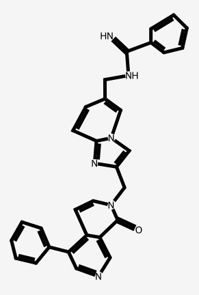 N=C(NCc1ccc2nc(Cn3ccc4c(-c5ccccc5)cncc4c3=O)cn2c1)c1ccccc1